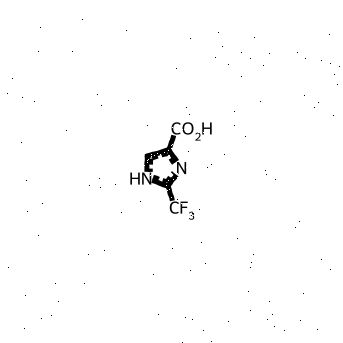 O=C(O)c1c[nH]c(C(F)(F)F)n1